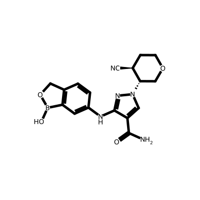 N#C[C@H]1CCOC[C@@H]1n1cc(C(N)=O)c(Nc2ccc3c(c2)B(O)OC3)n1